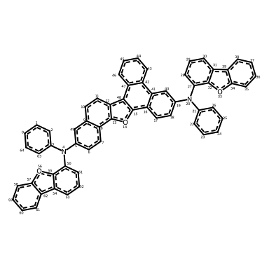 c1ccc(N(c2ccc3c(ccc4c3oc3c5ccc(N(c6ccccc6)c6cccc7c6oc6ccccc67)cc5c5ccccc5c43)c2)c2cccc3c2oc2ccccc23)cc1